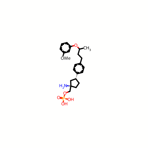 COc1cccc(OC(C)CCc2ccc([C@@H]3CC[C@](N)(COP(=O)(O)O)C3)cc2)c1